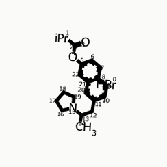 Br.CC(C)C(=O)Oc1ccc2ccc(CC(C)N3CCCC3)cc2c1